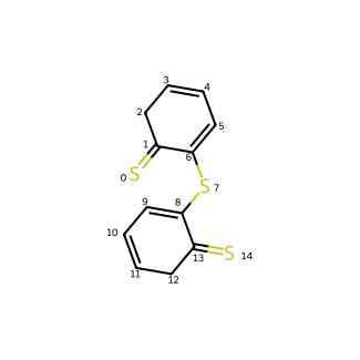 S=C1CC=CC=C1SC1=CC=CCC1=S